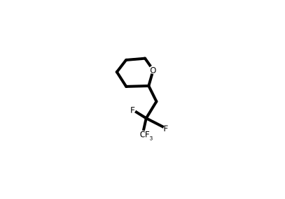 FC(F)(F)C(F)(F)CC1CCCCO1